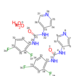 O.O.O=C(Nc1ccncc1)Nc1ccc(F)cc1F.O=C(Nc1ccncc1)Nc1ccc(F)cc1F